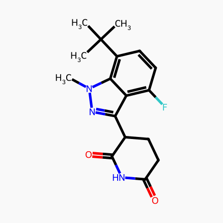 Cn1nc(C2CCC(=O)NC2=O)c2c(F)ccc(C(C)(C)C)c21